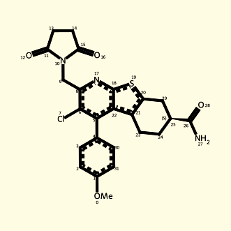 COc1ccc(-c2c(Cl)c(CN3C(=O)CCC3=O)nc3sc4c(c23)CC[C@H](C(N)=O)C4)cc1